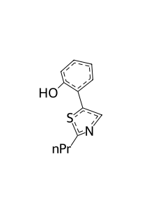 CCCc1ncc(-c2ccccc2O)s1